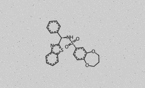 O=S(=O)(N[C@H](c1ccccc1)c1nc2ccccc2s1)c1ccc2c(c1)OCCCO2